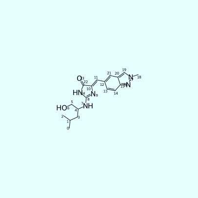 CC(C)CC(CO)NC1=N/C(=C\c2ccc3nn(C)cc3c2)C(=O)N1